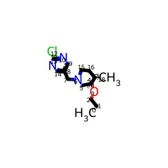 CCCO[C@H]1CN(Cc2cnc(Cl)nc2)CC[C@@H]1C